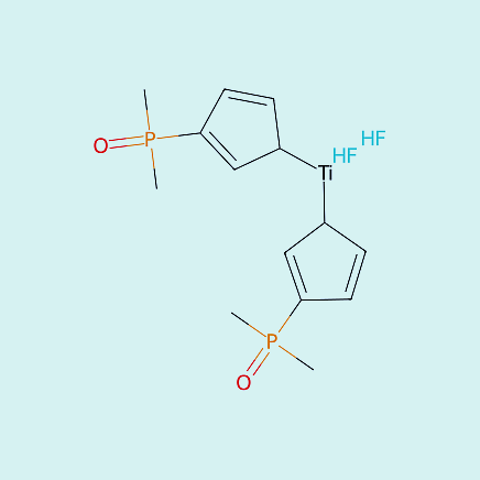 CP(C)(=O)C1=C[CH]([Ti][CH]2C=CC(P(C)(C)=O)=C2)C=C1.F.F